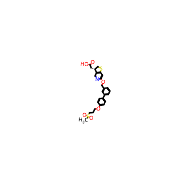 CS(=O)(=O)CCCOc1ccc(-c2cccc(COc3cc4c(cn3)[C@H](CC(=O)O)CS4)c2)cc1